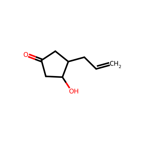 C=CCC1CC(=O)CC1O